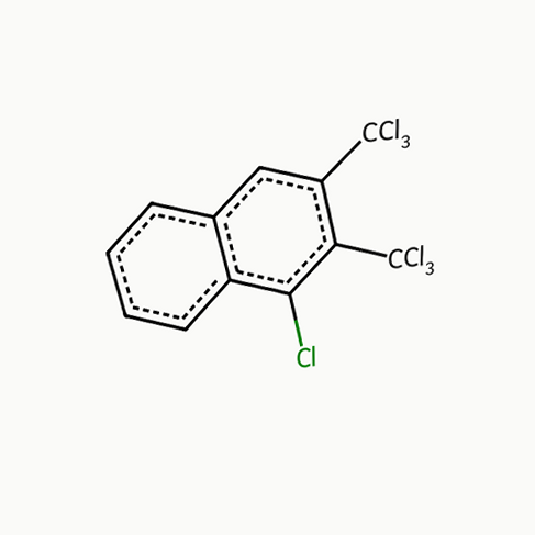 Clc1c(C(Cl)(Cl)Cl)c(C(Cl)(Cl)Cl)cc2ccccc12